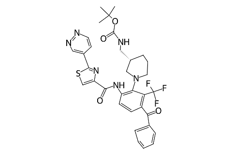 CC(C)(C)OC(=O)NC[C@@H]1CCCN(c2c(NC(=O)c3csc(-c4ccnnc4)n3)ccc(C(=O)c3ccccc3)c2C(F)(F)F)C1